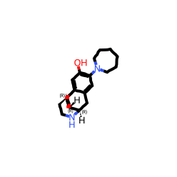 Oc1cc2c(cc1N1CCCCCC1)C[C@H]1NCC[C@@]23CCCC[C@@H]13